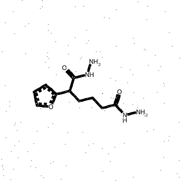 NNC(=O)CCCC(C(=O)NN)c1ccco1